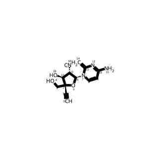 C#C[C@]1(CO)O[C@@H](N2C=CC(N)=NC2=C)[C@@H](C#N)[C@@H]1O